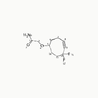 NC(=O)COC1CCC#CC(F)(F)CC1